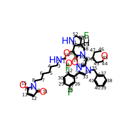 O=C(NCCCCCCN1C(=O)C=CC1=O)O[C@@H]1C(=O)N([C@@H](c2nc(-c3cc(F)ccc3F)cn2Cc2ccccc2)C2CCOCC2)C[C@@H]2C1NC[C@@H]2F